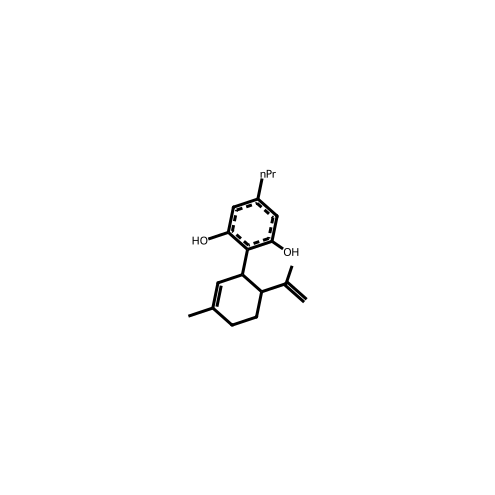 C=C(C)C1CCC(C)=CC1c1c(O)cc(CCC)cc1O